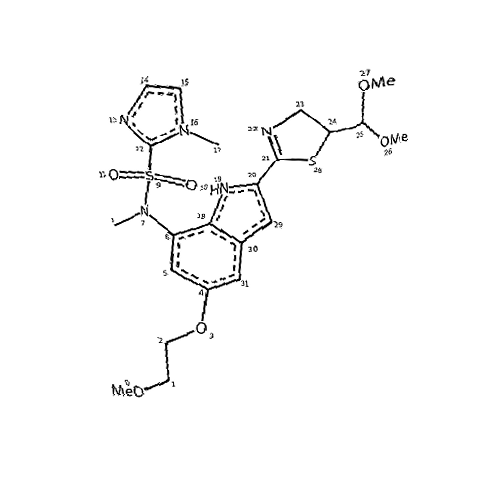 COCCOc1cc(N(C)S(=O)(=O)c2nccn2C)c2[nH]c(C3=NCC(C(OC)OC)S3)cc2c1